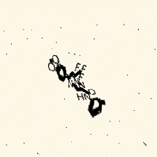 Cc1cccc(NC(=O)c2cc3nc(-c4ccc5c(c4)OCO5)cc(C(F)(F)F)n3n2)c1